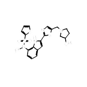 CCN(c1cccc2cc(-c3ncc(CN4CCC(O)C4)s3)[nH]c12)S(=O)(=O)c1cccs1